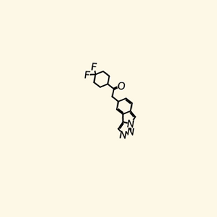 O=C(CC1C=Cc2cn3nncc3c2=C1)C1CCC(F)(F)CC1